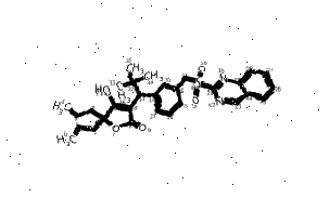 CCCC1(CCC)OC(=O)C(C(c2cccc(CS(=O)(=O)c3ncc4ccccc4n3)c2)C(C)(C)C)=C1O